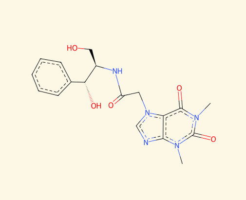 Cn1c(=O)c2c(ncn2CC(=O)N[C@H](CO)[C@H](O)c2ccccc2)n(C)c1=O